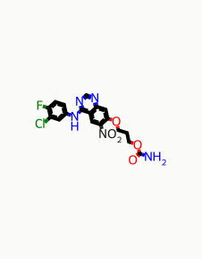 NC(=O)OCCCOc1cc2ncnc(Nc3ccc(F)c(Cl)c3)c2cc1[N+](=O)[O-]